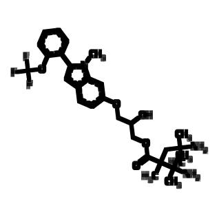 Cn1c(-c2ccccc2OC(F)(F)F)cc2ccc(OCC(O)COC(=O)C(C)(CC(C)(C)N)C(C)(C)N)cc21